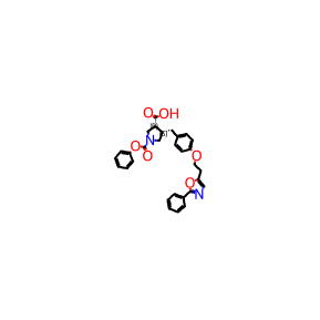 O=C(O)[C@H]1CN(C(=O)Oc2ccccc2)C[C@H]1Cc1ccc(OCCc2cnc(-c3ccccc3)o2)cc1